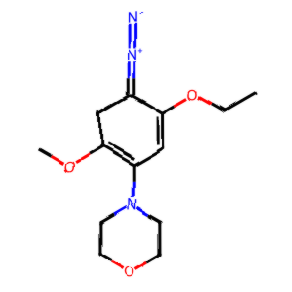 CCOC1=CC(N2CCOCC2)=C(OC)CC1=[N+]=[N-]